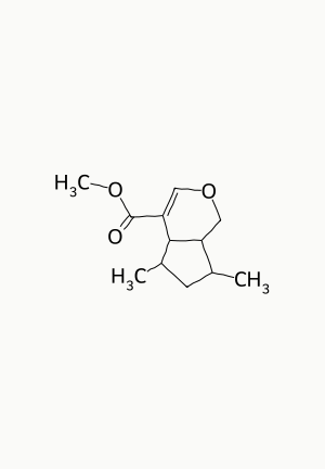 COC(=O)C1=COCC2C(C)CC(C)C12